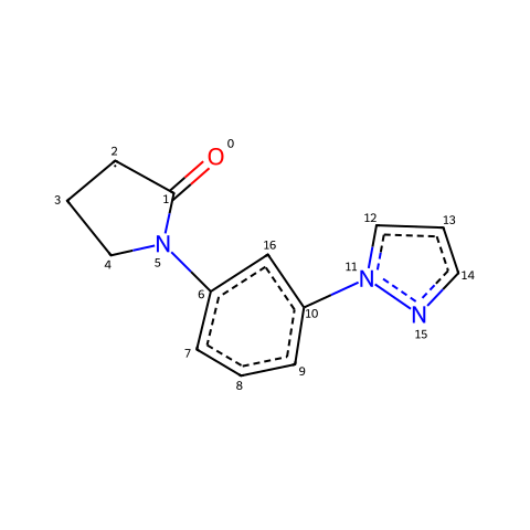 O=C1[CH]CCN1c1cccc(-n2cccn2)c1